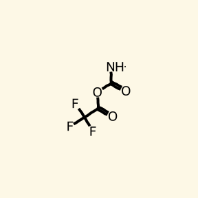 [NH]C(=O)OC(=O)C(F)(F)F